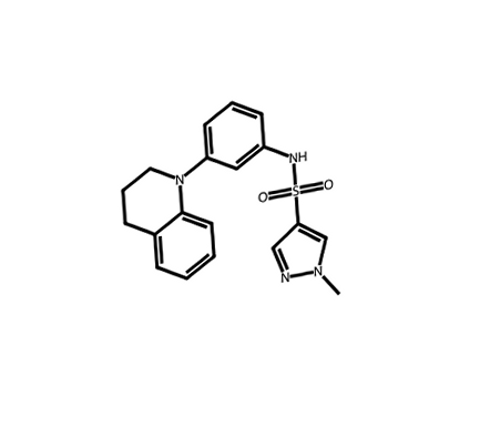 Cn1cc(S(=O)(=O)Nc2cccc(N3CCCc4ccccc43)c2)cn1